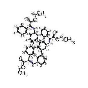 CCOC(=O)/C(=C/c1ccnc(-c2cc(/C=C(/C(=O)OCC)c3ccccc3)cc(-c3cc(/C=C(/C(=O)OCC)c4ccccc4)ccn3)n2)c1)c1ccccc1